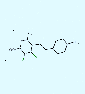 COC1CC(C)C(CCC2CCC(C)CC2)C(F)C1Cl